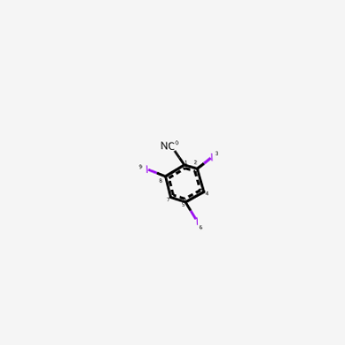 N#Cc1c(I)cc(I)cc1I